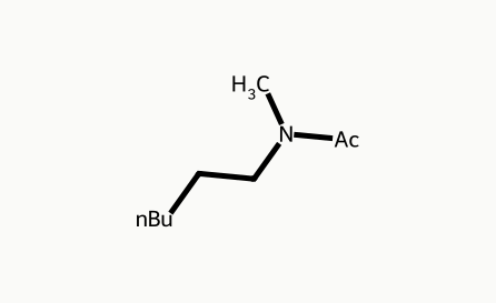 CCCCCCN(C)C(C)=O